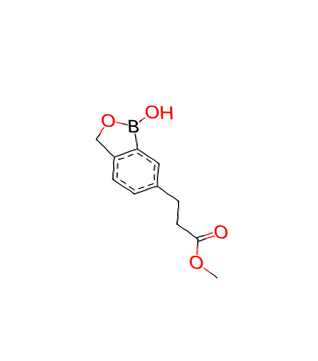 COC(=O)CCc1ccc2c(c1)B(O)OC2